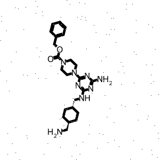 NC[C@H]1CC[C@H](CNc2nc(N)nc(N3CCN(C(=O)OCc4ccccc4)CC3)n2)CC1